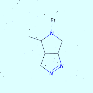 CCN1CC2N=NCC2C1C